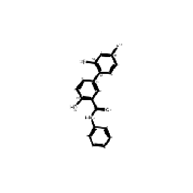 O=C(Nc1ccccc1)c1cc(-c2ccc(F)cc2F)ccc1O